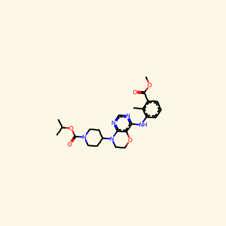 COC(=O)c1cccc(Nc2ncnc3c2OCCN3C2CCN(C(=O)OC(C)C)CC2)c1C